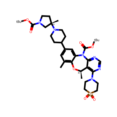 Cc1cc(C2CCN([C@@]3(C)CCN(C(=O)OC(C)(C)C)C3)CC2)cc2c1O[C@H](C)c1c(N3CCS(=O)(=O)CC3)ncnc1N2C(=O)OC(C)(C)C